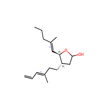 C=C/C=C(\C)CC[C@H]1CC(O)O[C@@H]1/C=C(\C)CCC